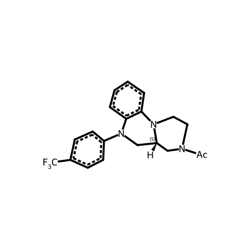 CC(=O)N1CCN2c3ccccc3N(c3ccc(C(F)(F)F)cc3)C[C@H]2C1